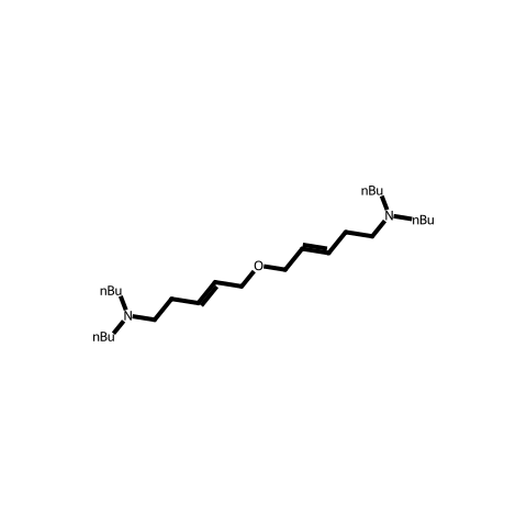 CCCCN(CCC=CCOCC=CCCN(CCCC)CCCC)CCCC